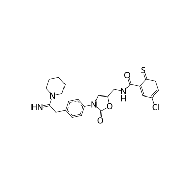 N=C(Cc1ccc(N2CC(CNC(=O)C3=CC(Cl)=CCC3=S)OC2=O)cc1)N1CCCCC1